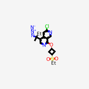 CCC(C)(N=[N+]=[N-])c1cnc(O[C@H]2C[C@@H](S(=O)(=O)CC)C2)c2cnc(Cl)cc12